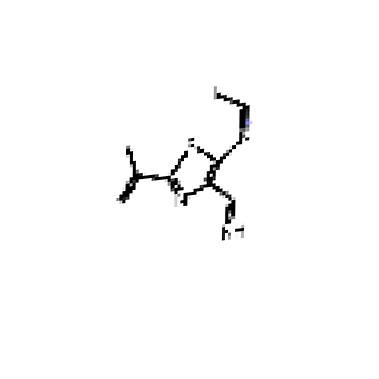 C=C(C)c1nc(C=N)c(/N=C\I)s1